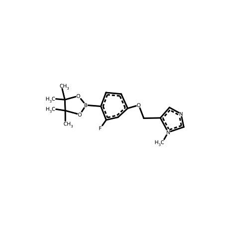 Cn1cncc1COc1ccc(B2OC(C)(C)C(C)(C)O2)c(F)c1